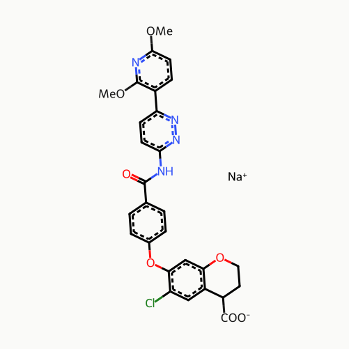 COc1ccc(-c2ccc(NC(=O)c3ccc(Oc4cc5c(cc4Cl)C(C(=O)[O-])CCO5)cc3)nn2)c(OC)n1.[Na+]